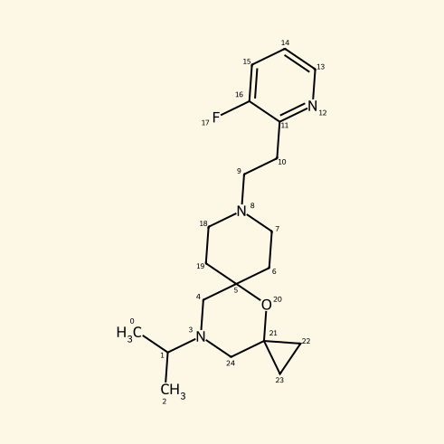 CC(C)N1CC2(CCN(CCc3ncccc3F)CC2)OC2(CC2)C1